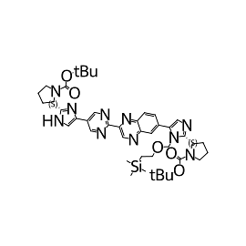 CC(C)(C)OC(=O)N1CCC[C@H]1c1nc(-c2cnc(-c3cnc4cc(-c5cnc([C@@H]6CCCN6C(=O)OC(C)(C)C)n5COCC[Si](C)(C)C)ccc4n3)nc2)c[nH]1